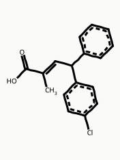 CC(=CC(c1ccccc1)c1ccc(Cl)cc1)C(=O)O